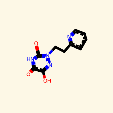 O=c1[nH]c(=O)n(CCc2ccccn2)nc1O